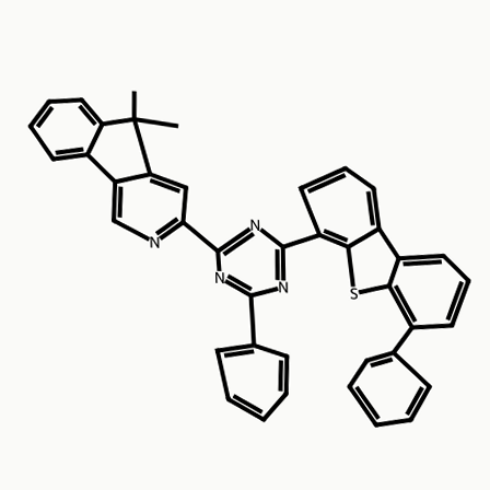 CC1(C)c2ccccc2-c2cnc(-c3nc(-c4ccccc4)nc(-c4cccc5c4sc4c(-c6ccccc6)cccc45)n3)cc21